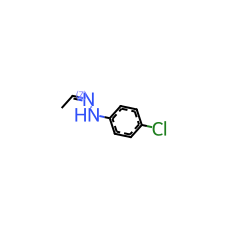 C/C=N\Nc1ccc(Cl)cc1